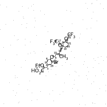 CCO[C@@H](Cc1ccc(OC/C=C(\C)C#CC2(OCC(F)(F)F)C=CC=C(OCC(F)(F)F)C2)c(Br)c1)C(=O)O